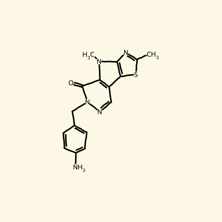 Cc1nc2c(s1)c1cnn(Cc3ccc(N)cc3)c(=O)c1n2C